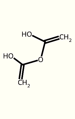 C=C(O)OC(=C)O